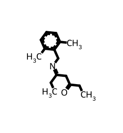 CCC(=O)CC(CC)=NCc1c(C)cccc1C